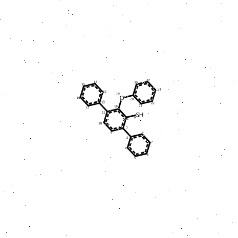 Sc1c(-c2ccccc2)ccc(-c2ccccc2)c1Oc1ccccc1